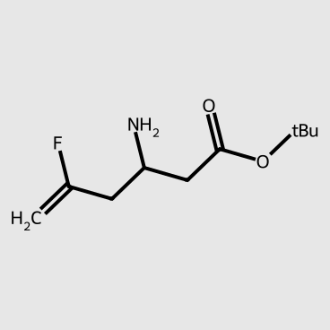 C=C(F)CC(N)CC(=O)OC(C)(C)C